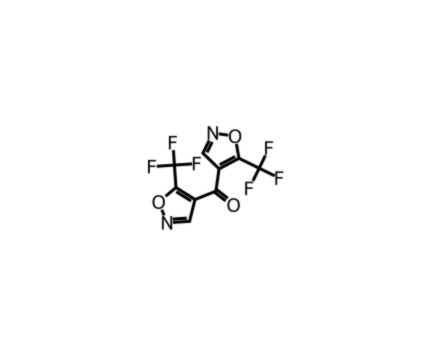 O=C(c1cnoc1C(F)(F)F)c1cnoc1C(F)(F)F